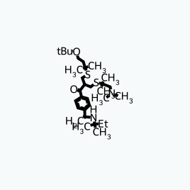 C=C(NC(C)(C)CC)c1ccc(C(=O)C(CSC(C)(C)CCOC(C)(C)C)CSC(C)(C)CN(C)C)cc1